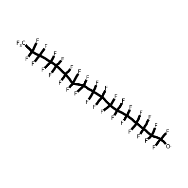 [O]C(F)(F)C(F)(F)C(F)(F)C(F)(F)C(F)(F)C(F)(F)C(F)(F)C(F)(F)C(F)(F)C(F)(F)C(F)(F)C(F)(F)C(F)(F)C(F)(F)C(F)(F)C(F)(F)C(F)(F)F